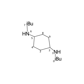 CCC(C)NC1CCC(NC(C)CC)CC1